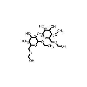 CCOC1OC(COCO)[C@@H](O)C(O)[C@@H]1O[C@@H]1OC(COCO)[C@@H](OC)C(O)[C@@H]1O